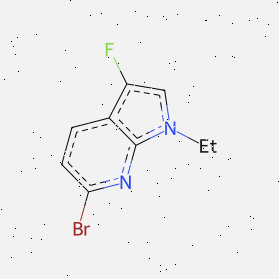 CCn1cc(F)c2ccc(Br)nc21